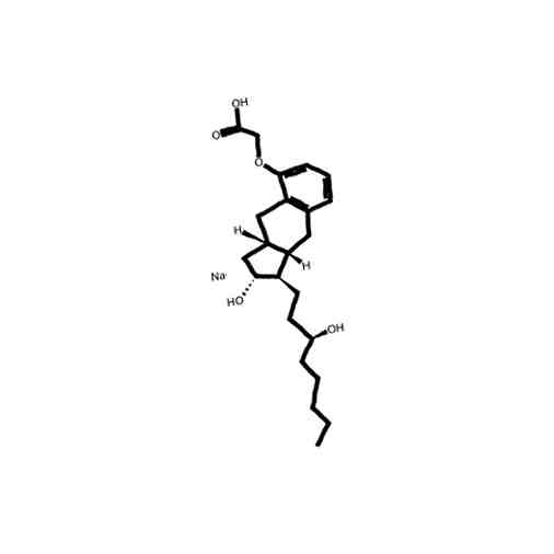 CCCCC[C@H](O)CC[C@@H]1[C@H]2Cc3cccc(OCC(=O)O)c3C[C@H]2C[C@H]1O.[Na]